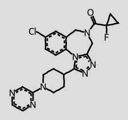 O=C(N1Cc2cc(Cl)ccc2-n2c(nnc2C2CCN(c3cnccn3)CC2)C1)C1(F)CC1